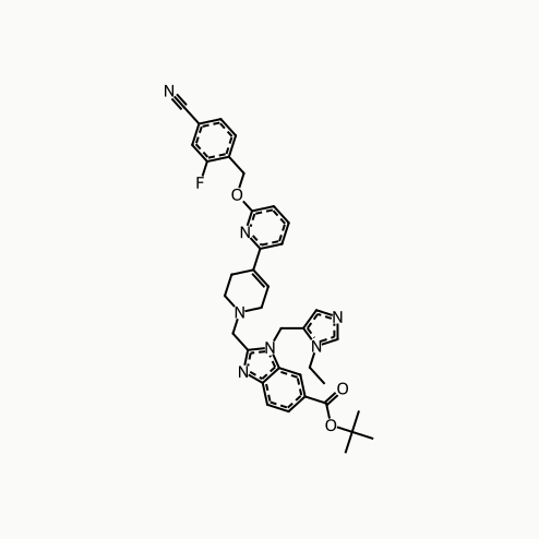 CCn1cncc1Cn1c(CN2CC=C(c3cccc(OCc4ccc(C#N)cc4F)n3)CC2)nc2ccc(C(=O)OC(C)(C)C)cc21